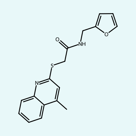 Cc1cc(SCC(=O)NCc2ccco2)nc2ccccc12